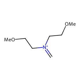 C=[N+](CCOC)CCOC